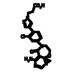 NC1=C2C(=O)N(c3ccc(-c4cnn(CCC(=O)O)c4)c(Cl)c3)CCOC23CN3C=N1